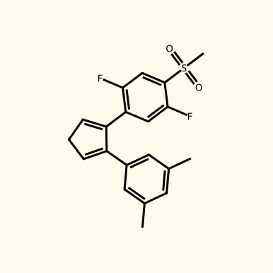 Cc1cc(C)cc(C2=CCC=C2c2cc(F)c(S(C)(=O)=O)cc2F)c1